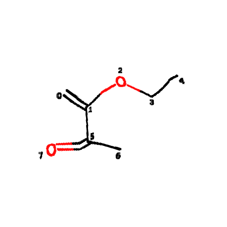 C=C(OCC)C(C)=O